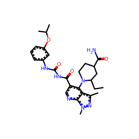 CCC1CC(C(N)=O)CCN1c1c(C(=O)NC(=O)Nc2cccc(OC(C)C)c2)cnc2c1c(C)nn2C